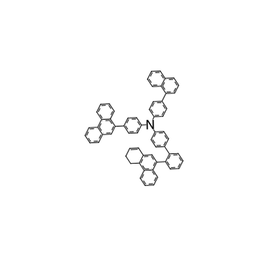 C1=Cc2cc(-c3ccccc3-c3ccc(N(c4ccc(-c5cccc6ccccc56)cc4)c4ccc(-c5cc6ccccc6c6ccccc56)cc4)cc3)c3ccccc3c2CC1